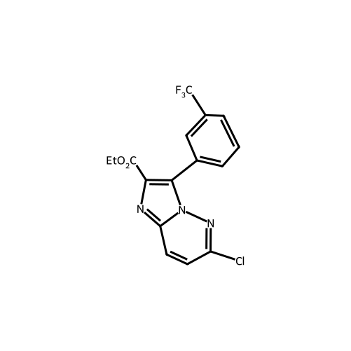 CCOC(=O)c1nc2ccc(Cl)nn2c1-c1cccc(C(F)(F)F)c1